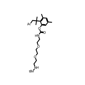 CC(=O)CC(C)(C)c1c(C)cc(C)cc1OC(=O)NCCOCCOCCNC(C)(C)C